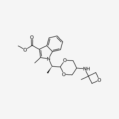 COC(=O)c1c(C)n([C@H](C)C2OCC(NC3(C)COC3)CO2)c2ccccc12